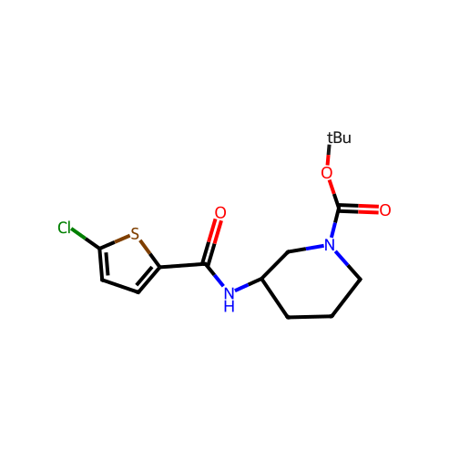 CC(C)(C)OC(=O)N1CCCC(NC(=O)c2ccc(Cl)s2)C1